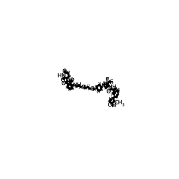 C[C@@H]1[C@H]2OC2CN1c1ccn2ncc(C(=O)Nc3cn([C@H]4CC[C@H](COCCCOCCCNc5cccc6c5C(=O)N(C5CCC(=O)NC5=O)C6=O)CC4)nc3C(F)F)c2n1